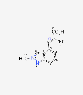 CC/C(=C\c1cccc2nn(C)cc12)C(=O)O